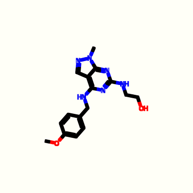 COc1ccc(CNc2nc(NCCO)nc3c2cnn3C)cc1